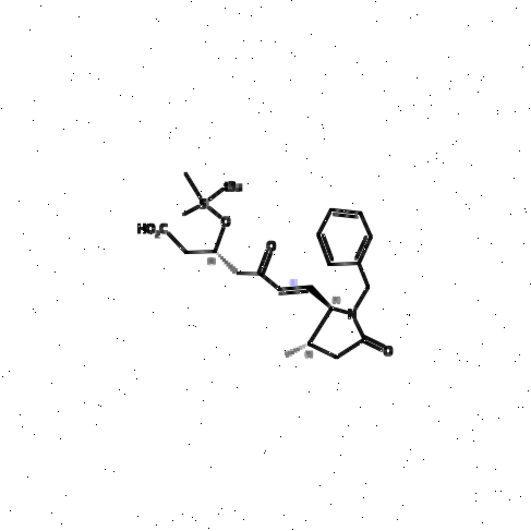 C[C@H]1CC(=O)N(Cc2ccccc2)[C@@H]1/C=C/C(=O)C[C@H](CC(=O)O)O[Si](C)(C)C(C)(C)C